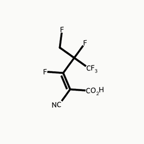 N#CC(C(=O)O)=C(F)C(F)(CF)C(F)(F)F